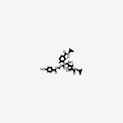 Cc1ccc(C(=O)NC2CC2)cc1N(C(=N)c1[nH]cc(C(=O)NC2CC2)c1C)C(=O)OCOC(=O)c1ccc(O)cc1